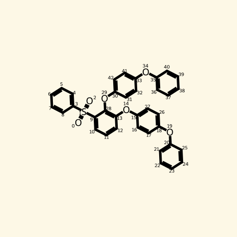 O=S(=O)(c1ccccc1)c1cccc(Oc2ccc(Oc3ccccc3)cc2)c1Oc1ccc(Oc2ccccc2)cc1